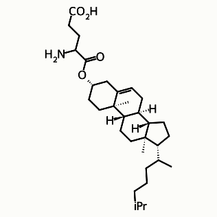 CC(C)CCCC(C)[C@H]1CC[C@H]2[C@@H]3CC=C4C[C@@H](OC(=O)C(N)CCC(=O)O)CC[C@]4(C)[C@H]3CC[C@]12C